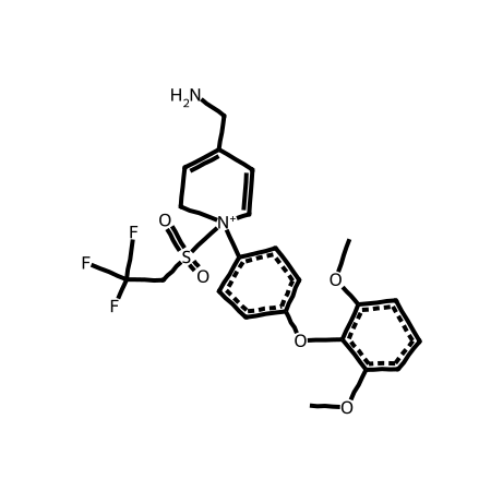 COc1cccc(OC)c1Oc1ccc([N+]2(S(=O)(=O)CC(F)(F)F)C=CC(CN)=CC2)cc1